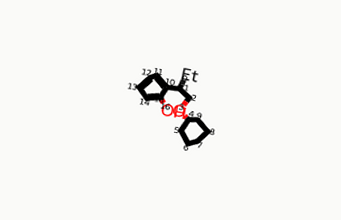 CCC(COC1CCCCC1)c1ccccc1O